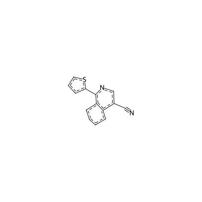 N#Cc1cnc(-c2cccs2)c2ccccc12